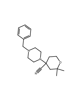 CC1(C)CC(C#N)(N2CCN(Cc3ccccc3)CC2)CCO1